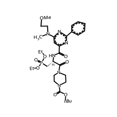 CCCCOC(=O)N1CCN(C(=O)[C@H](CP(=O)(OCC)OCC)NC(=O)c2cc(N(C)CCOC)nc(-c3ccccc3)n2)CC1